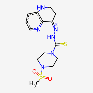 CS(=O)(=O)N1CCN(C(=S)N/N=C2/CCNc3cccnc32)CC1